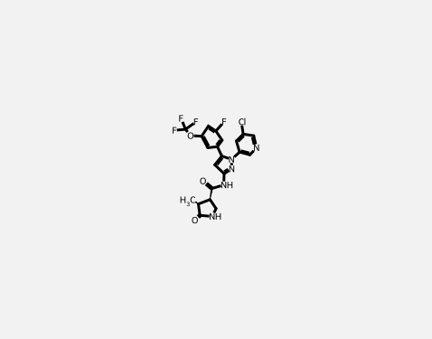 C[C@H]1C(=O)NC[C@@H]1C(=O)Nc1cc(-c2cc(F)cc(OC(F)(F)F)c2)n(-c2cncc(Cl)c2)n1